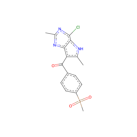 Cc1nc(Cl)c2[nH]c(C)c(C(=O)c3ccc(S(C)(=O)=O)cc3)c2n1